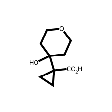 O=C(O)C1(C2(O)CCOCC2)CC1